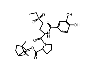 CCS(=O)(=O)CCC(NC(=O)c1ccc(O)c(O)c1)C(=O)N1CCCC1C(=O)OC1CC2CCC1(C)C2(C)C